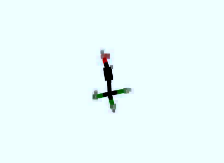 OC#CC(Cl)(Cl)Cl